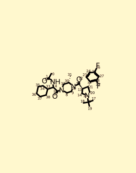 CC(=O)NC(C(=O)N1CCN(C(=O)[C@@H]2CN(C(C)(C)C)C[C@H]2c2ccc(F)cc2F)[C@@H](C)C1)C1CCCCC1